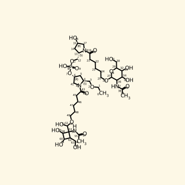 CCOC[C@@H]1C[C@@H](OP(=O)(O)OC[C@@H]2C[C@@H](O)CN2C(=O)CCCCCOC2OC(CO)C(O)C(O)C2NC(C)=O)CN1C(=O)CCCCCOC(O)C1(NC(C)=O)C(O)C(O)C1CO